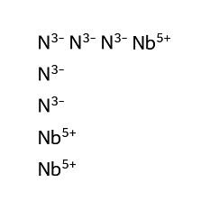 [N-3].[N-3].[N-3].[N-3].[N-3].[Nb+5].[Nb+5].[Nb+5]